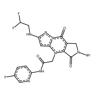 CC(C)N1Cc2c(n(CC(=O)Nc3ccc(F)cn3)c3cc(NCC(F)F)nn3c2=O)C1=O